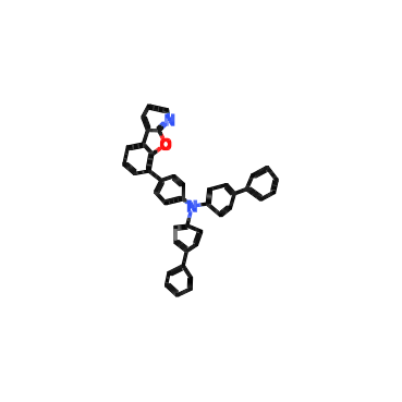 c1ccc(-c2ccc(N(c3ccc(-c4ccccc4)cc3)c3ccc(-c4cccc5c4oc4ncccc45)cc3)cc2)cc1